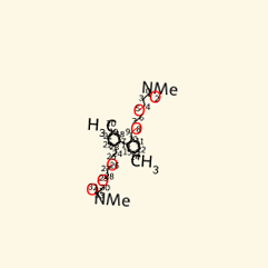 CNC(=O)CCOCCOCc1ccc(C)cc1-c1cc(C)ccc1CCOCCOCC(=O)NC